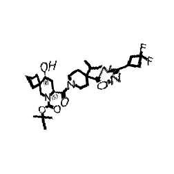 CC(C)C1(c2nc(C3CC(F)(F)C3)no2)CCN(C(=O)[C@@H]2C[C@@H](O)C3(CCC3)CN2C(=O)OC(C)(C)C)CC1